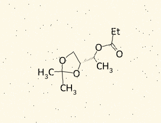 CCC(=O)OC(C)[C@H]1COC(C)(C)O1